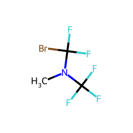 CN(C(F)(F)F)C(F)(F)Br